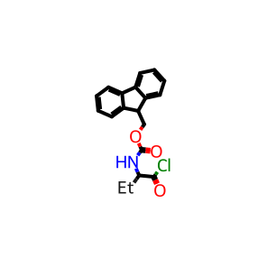 CCC(NC(=O)OCC1c2ccccc2-c2ccccc21)C(=O)Cl